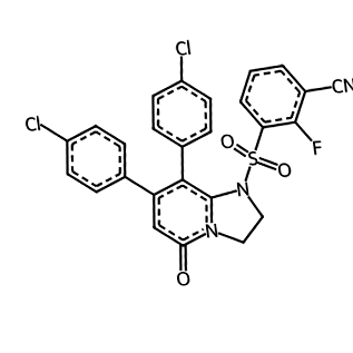 N#Cc1cccc(S(=O)(=O)N2CCn3c2c(-c2ccc(Cl)cc2)c(-c2ccc(Cl)cc2)cc3=O)c1F